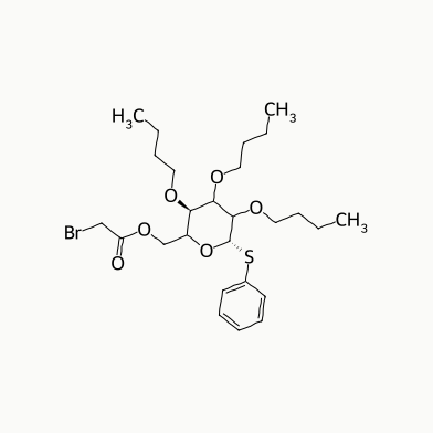 CCCCOC1C(OCCCC)[C@H](Sc2ccccc2)OC(COC(=O)CBr)[C@H]1OCCCC